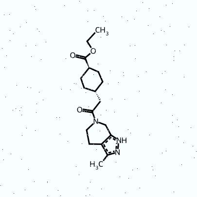 CCOC(=O)[C@H]1CC[C@H](CC(=O)N2CCc3c(C)n[nH]c3C2)CC1